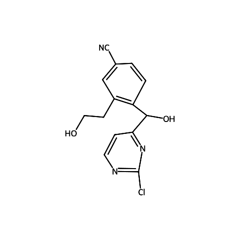 N#Cc1ccc(C(O)c2ccnc(Cl)n2)c(CCO)c1